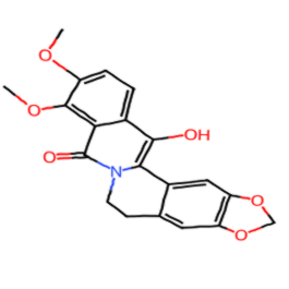 COc1ccc2c(O)c3n(c(=O)c2c1OC)CCc1cc2c(cc1-3)OCO2